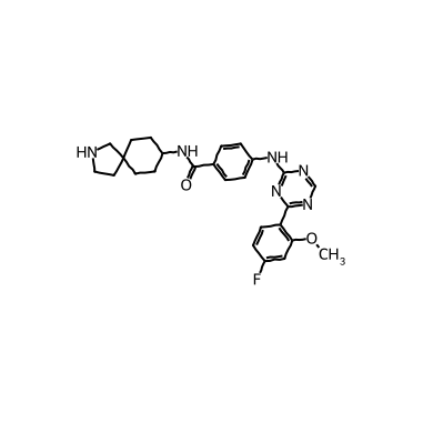 COc1cc(F)ccc1-c1ncnc(Nc2ccc(C(=O)NC3CCC4(CCNC4)CC3)cc2)n1